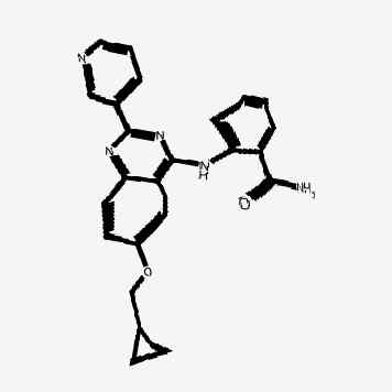 NC(=O)c1ccccc1Nc1nc(-c2cccnc2)nc2ccc(OCC3CC3)cc12